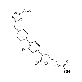 O=C1OC(CNC(O)=S)CN1c1ccc(C2CCN(Cc3ccc([N+](=O)[O-])o3)CC2)c(F)c1